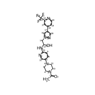 CC(=O)N1CCN(c2ccc(NC(O)Cn3cc(-c4ccnc(C(F)(F)F)c4)cn3)nc2)CC1